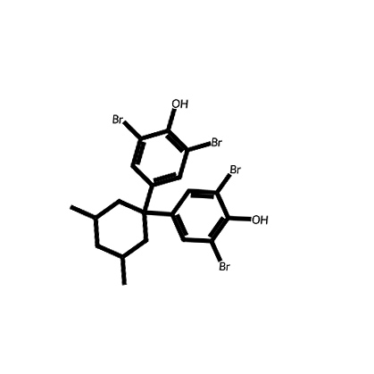 CC1CC(C)CC(c2cc(Br)c(O)c(Br)c2)(c2cc(Br)c(O)c(Br)c2)C1